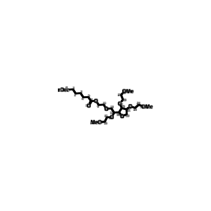 CCCCCCCCCCCCCCCC(=O)OCCOCC(OCCOC)C1OCC(OCCOC)C1OCCOC